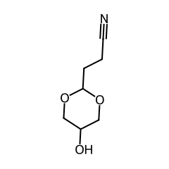 N#CCCC1OCC(O)CO1